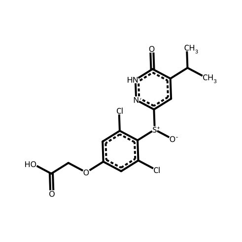 CC(C)c1cc([S+]([O-])c2c(Cl)cc(OCC(=O)O)cc2Cl)n[nH]c1=O